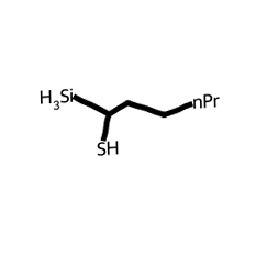 CCCCCC([SiH3])S